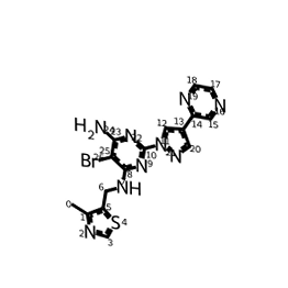 Cc1ncsc1CNc1nc(-n2cc(-c3cnccn3)cn2)nc(N)c1Br